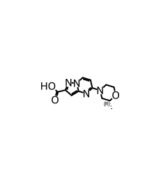 C[C@@H]1CN(c2ccn3nc(C(=O)O)cc3n2)CCO1